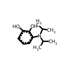 CC(C)N(c1cccc(O)c1O)C(C)C